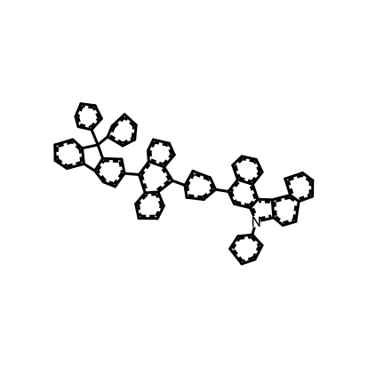 c1ccc(-n2c3ccc4ccccc4c3c3c4ccccc4c(-c4ccc(-c5c6ccccc6c(-c6ccc7c(c6)C(c6ccccc6)(c6ccccc6)c6ccccc6-7)c6ccccc56)cc4)cc32)cc1